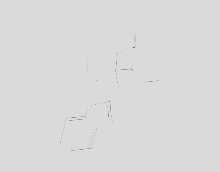 CNC(=O)C1CCCCC1(Sc1nc2ccccc2s1)C(=O)NC